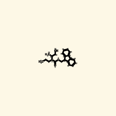 CCCN(C(=O)OCC1c2ccccc2-c2ccccc21)[C@@H](C)CO